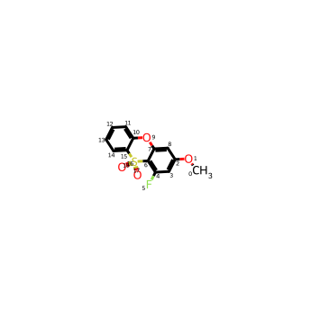 COc1cc(F)c2c(c1)Oc1ccccc1S2(=O)=O